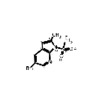 Cc1cc2cc(Br)cnc2n1S(=O)(=O)P